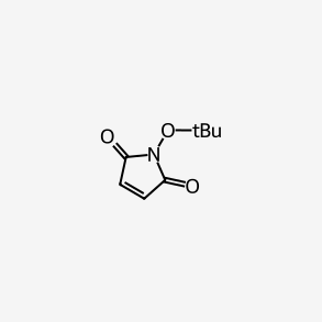 CC(C)(C)ON1C(=O)C=CC1=O